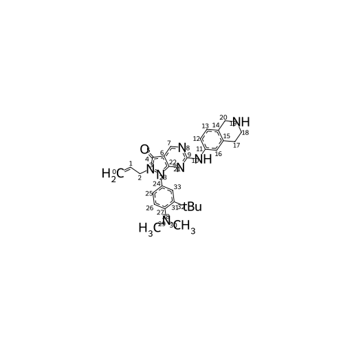 C=CCn1c(=O)c2cnc(Nc3ccc4c(c3)CCNC4)nc2n1-c1ccc(N(C)C)c(C(C)(C)C)c1